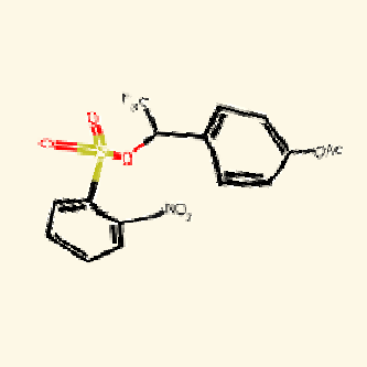 CC(=O)Oc1ccc(C(OS(=O)(=O)c2ccccc2[N+](=O)[O-])C(F)(F)F)cc1